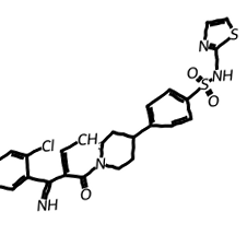 C/C=C(/C(=N)c1ccccc1Cl)C(=O)N1CCC(c2ccc(S(=O)(=O)Nc3nccs3)cc2)CC1